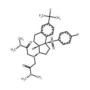 CN(C)C(=O)CN(CC(=O)N(C)C)[C@@H]1CC[C@@]2(S(=O)(=O)c3ccc(F)cc3)c3ccc(C(C)(F)C(F)(F)F)cc3CC[C@@H]12